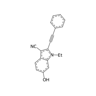 CCn1c(C#Cc2ccccc2)c(C#N)c2ccc(O)cc21